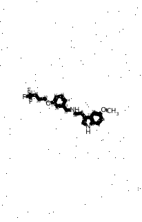 COc1ccc2[nH]cc(CCNCc3cccc(OCCCC(F)(F)F)c3)c2c1